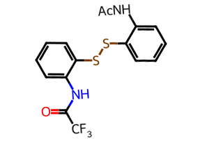 CC(=O)Nc1ccccc1SSc1ccccc1NC(=O)C(F)(F)F